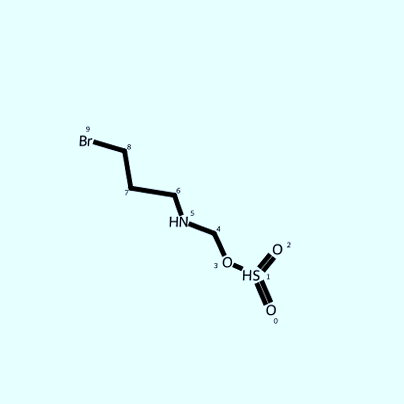 O=[SH](=O)OCNCCCBr